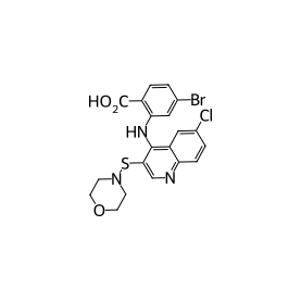 O=C(O)c1ccc(Br)cc1Nc1c(SN2CCOCC2)cnc2ccc(Cl)cc12